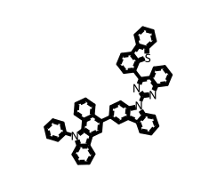 c1ccc(-n2c3ccccc3c3cc(-c4ccc5c(c4)c4ccccc4n5-c4nc(-c5cccc6c5sc5ccccc56)c5ccccc5n4)c4ccccc4c32)cc1